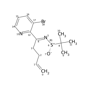 C=CCCC(=N[S@@+]([O-])C(C)(C)C)c1ncccc1Br